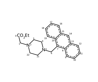 CCOC(=O)CN1CCN(Cc2c3ccccc3cc3ccccc23)CC1